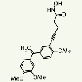 C=C(c1ccc(OC)c(C#CCCC(=O)NO)c1)c1ccc(OC)c(OC)c1